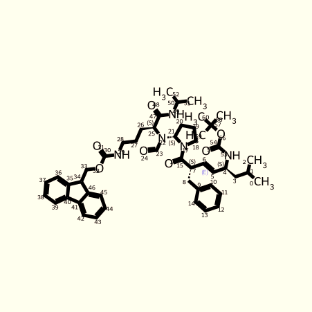 CC(C)C[C@@H](/C=C/[C@H](Cc1ccccc1)C(=O)N1CCC[C@H]1N(C=O)[C@@H](CCCNC(=O)OCC1c2ccccc2-c2ccccc21)C(=O)NC(C)C)NC(=O)OC(C)(C)C